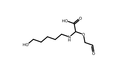 O=CCOC(NCCCCCO)C(=O)O